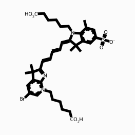 Cc1cc(S(=O)(=O)[O-])cc2c1N(CCCCCC(=O)O)/C(=C/C=C/C=C/C1=Nc3c(cc(Br)c[n+]3CCCCCC(=O)O)C1(C)C)C2(C)C